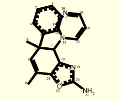 CC1=CC(C)(c2ccccc2)C(N2C=CC=NC2)c2nc(N)oc21